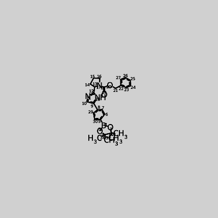 CC1(C)OB(c2ccc(-c3cnc(C4CCCN4C(=O)OCc4ccccc4)[nH]3)cc2)OC1(C)C